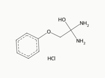 Cl.NC(N)(O)COc1ccccc1